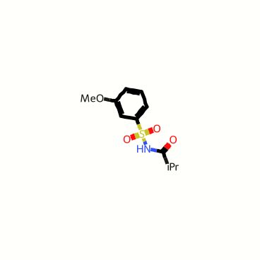 COc1cccc(S(=O)(=O)NC(=O)C(C)C)c1